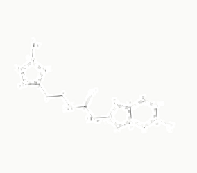 CC(C)n1nnc(CCNC(=O)Nc2cn3cc(Br)ncc3n2)n1